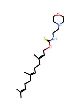 CC(C)=CCC/C(C)=C/CC/C(C)=C/COC(=S)NCCN1CCOCC1